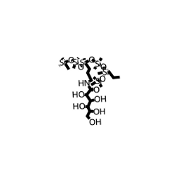 CCC[Si](C)(O[Si](C)(C)C)O[Si](C)(C)O[Si](C)(CCCNC(=O)C(O)C(O)C(O)C(O)CO)O[Si](C)(C)O[Si](C)(C)C